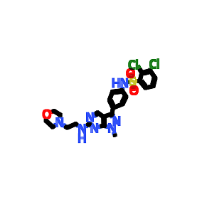 Cn1nc(-c2ccc(NS(=O)(=O)c3cccc(Cl)c3Cl)cc2)c2cnc(NCCN3CCOCC3)nc21